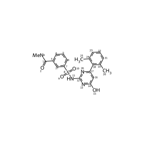 CNC(=O)c1cccc(S(=O)(=O)Nc2nc(O)cc(-c3c(C)cccc3C)n2)c1